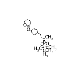 CC(CCc1ccc(O[C@H]2CCCCO2)cc1)B1OC(C)(C)C(C)(C)O1